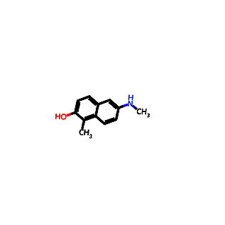 CNc1ccc2c(C)c(O)ccc2c1